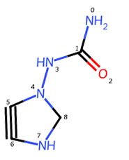 NC(=O)NN1C#CNC1